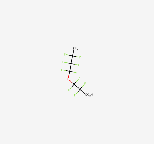 O=C(O)C(F)(F)C(F)(F)OC(F)(F)C(F)(F)C(F)(F)C(F)(F)F